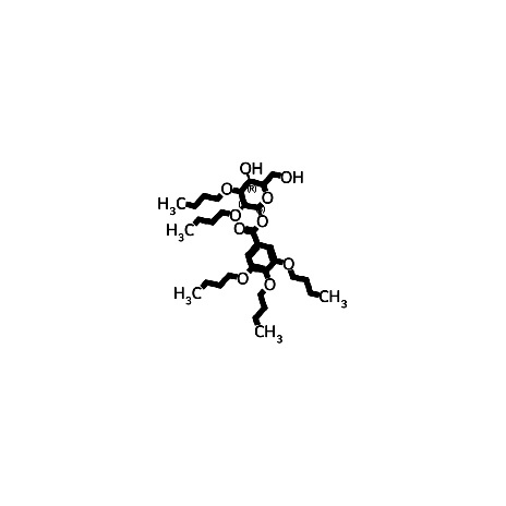 CCCCOc1cc(C(=O)O[C@@H]2OC(CO)[C@@H](O)C(OCCCC)[C@@H]2OCCCC)cc(OCCCC)c1OCCCC